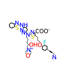 Cc1cc(N(CCCC(O)C[N+]2(C)CCOCC2)c2nc(C(=O)[O-])c(CCCOc3ccc(C#CCN(C)C)cc3F)s2)nnc1Nc1nc2ccccc2s1